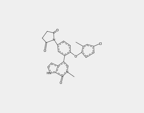 Cc1cc(Cl)ccc1Oc1ccc(N2C(=O)CCC2=O)cc1-c1cn(C)c(=O)c2[nH]ccc12